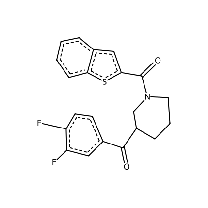 O=C(c1ccc(F)c(F)c1)C1CCCN(C(=O)c2cc3ccccc3s2)C1